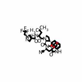 CC(C)CC(NC(=O)c1cnn(CC(F)(F)F)c1)C(=O)N1CC[C@H](c2ccccc2)[C@H]1C(=O)N1C[C@]2(C[C@H]1C#N)C(=O)Nc1ccccc12